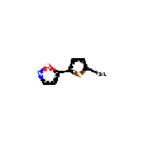 CC(C)(C)c1ccc(-c2ccno2)s1